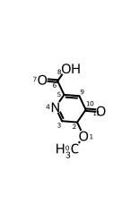 COC1C=NC(C(=O)O)=CC1=O